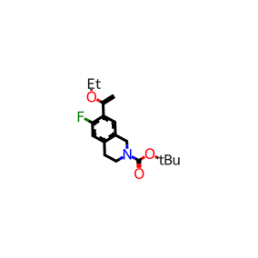 C=C(OCC)c1cc2c(cc1F)CCN(C(=O)OC(C)(C)C)C2